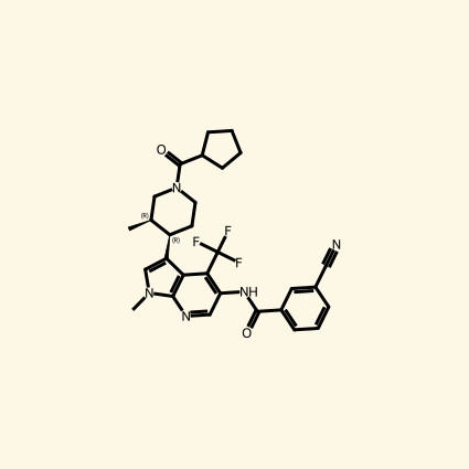 C[C@H]1CN(C(=O)C2CCCC2)CC[C@H]1c1cn(C)c2ncc(NC(=O)c3cccc(C#N)c3)c(C(F)(F)F)c12